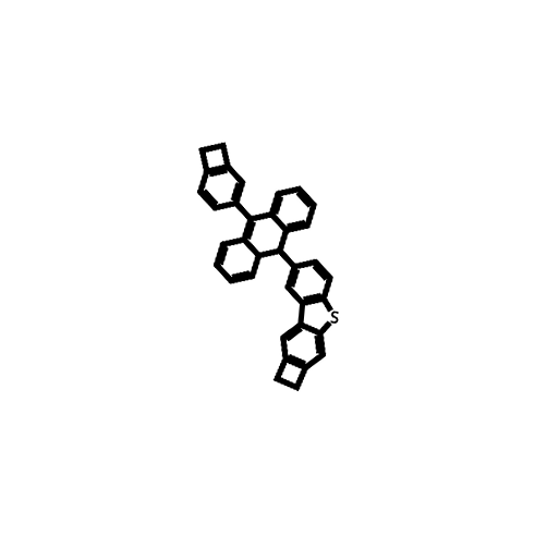 C1=CC2=C(c3ccc4c(c3)CC4)c3ccccc3C(c3ccc4sc5cc6c(cc5c4c3)CC6)C2C=C1